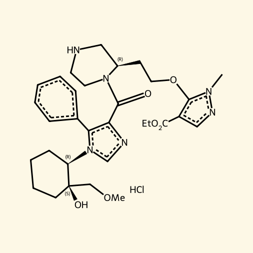 CCOC(=O)c1cnn(C)c1OCC[C@@H]1CNCCN1C(=O)c1ncn([C@@H]2CCCC[C@@]2(O)COC)c1-c1ccccc1.Cl